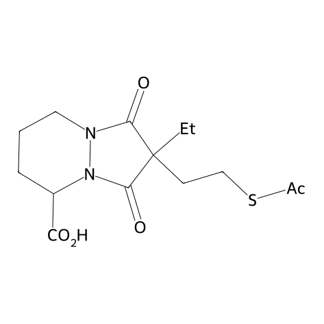 CCC1(CCSC(C)=O)C(=O)N2CCCC(C(=O)O)N2C1=O